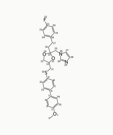 COc1ccc(-c2ccc(SCC3COC(CCc4ccc(F)cc4)(Cn4ccnc4)O3)cc2)cc1